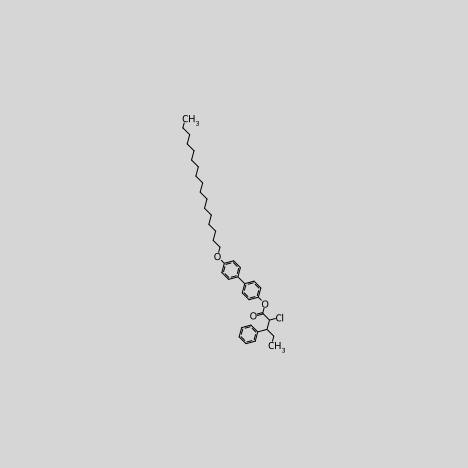 CCCCCCCCCCCCCCCCCOc1ccc(-c2ccc(OC(=O)C(Cl)C(CC)c3ccccc3)cc2)cc1